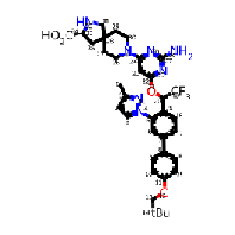 Cc1ccn(-c2cc(-c3ccc(OCC(C)(C)C)cc3)ccc2C(Oc2cc(N3CCC4(CC3)CN[C@H](C(=O)O)C4)nc(N)n2)C(F)(F)F)n1